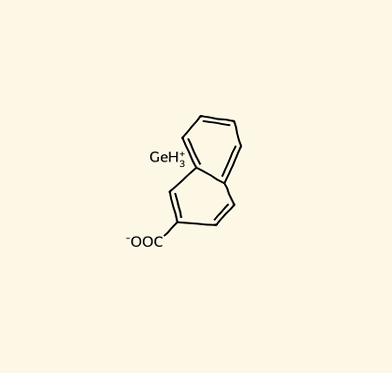 O=C([O-])c1ccc2ccccc2c1.[GeH3+]